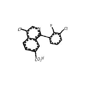 O=C(O)c1ccc2c(Cl)cnc(-c3cccc(Cl)c3F)c2c1